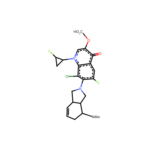 CNC1CC=CC2CN(c3c(F)cc4c(=O)c(OC(=O)O)cn(C5CC5F)c4c3Cl)CC21